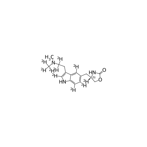 [2H]c1[nH]c2c([2H])c([2H])c(C[C@@]3([2H])COC(=O)N3)c([2H])c2c1CC([2H])([2H])N(C)C([2H])([2H])[2H]